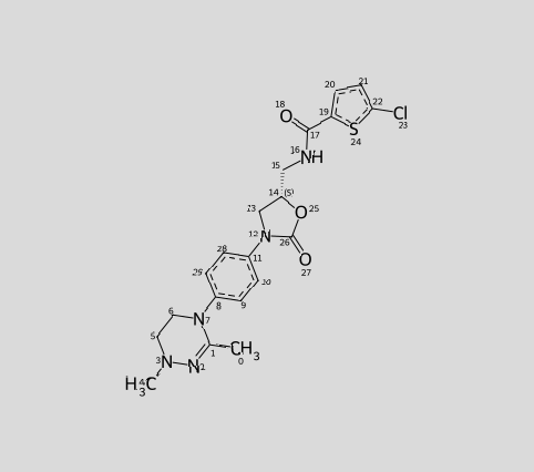 CC1=NN(C)CCN1c1ccc(N2C[C@H](CNC(=O)c3ccc(Cl)s3)OC2=O)cc1